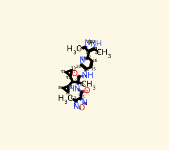 Cc1nonc1C(=O)NC(C)(C(=O)Nc1ccc(-c2c(C)n[nH]c2C)nc1)C(C1CC1)C1CC1